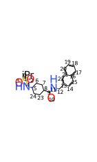 CC(C)S(=O)(=O)NC1CCC(C(=O)NCc2ccc3ccccc3c2)CC1